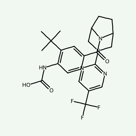 CC(C)(C)c1cc(C(=O)N2C3CCC2CN(c2ncc(C(F)(F)F)cn2)C3)ccc1NC(=O)O